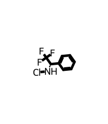 FC(F)(F)[C@@H](NCl)c1ccccc1